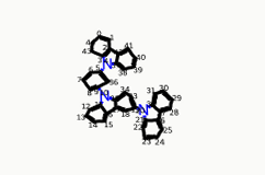 C1=Cc2c(n(-c3cccc(-n4c5ccccc5c5cc(-n6c7ccccc7c7ccccc76)ccc54)c3)c3ccccc23)CC1